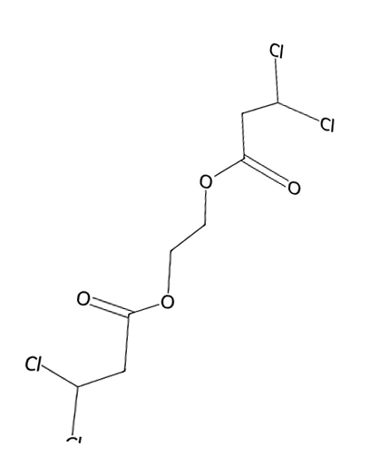 O=C(CC(Cl)Cl)OCCOC(=O)CC(Cl)Cl